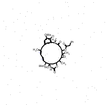 COc1cc2cc(c1Cl)N(C)C(=O)CC(OC(=O)CC(C)C)C1(C)OC1C(C)C1CC(O)(NC(=O)O1)C(OC)/C=C/C=C(/C)C2